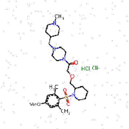 COc1cc(C)c(S(=O)(=O)N2CCCCC2COCC(=O)N2CCN(CC3CCN(C)CC3)CC2)c(C)c1.Cl.Cl